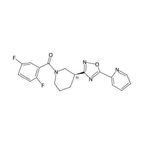 O=C(c1cc(F)ccc1F)N1CCC[C@H](c2noc(-c3ccccn3)n2)C1